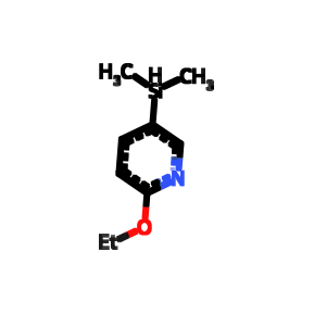 CCOc1ccc([SiH](C)C)cn1